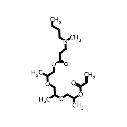 C=CC(=O)OC(C)COC(C)COC(C)COC(=O)CCN(C)CCCC